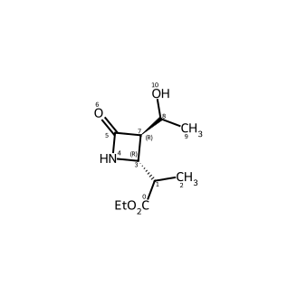 CCOC(=O)C(C)[C@@H]1NC(=O)[C@H]1C(C)O